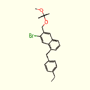 CCc1ccc(Cc2cccc3cc(COC(C)(C)OC)c(Br)cc23)cc1